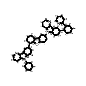 C1=Nc2c(n(-c3ccc4oc5c(-c6ccc7c(c6)c6ncccc6n7-c6ccccc6)cccc5c4c3)c3ccc(-c4ccccc4-c4ccccn4)cc23)CC1